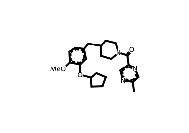 COc1ccc(CC2CCN(C(=O)c3cnc(C)cn3)CC2)cc1OC1CCCC1